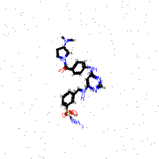 CN(C)[C@@H]1CCN(C(=O)c2ccc(Nc3cc(NCc4cccc(S(N)(=O)=O)c4)ncn3)cc2)C1